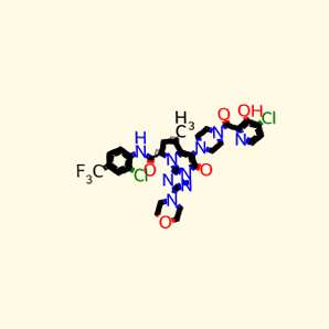 C[C@@H]1C[C@H](C(=O)Nc2ccc(C(F)(F)F)cc2Cl)n2c1c(N1CCN(C(=O)c3nccc(Cl)c3O)CC1)c(=O)n1nc(N3CCOCC3)nc21